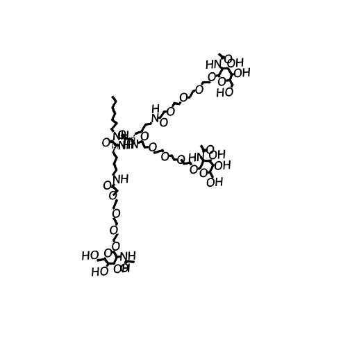 CCCCCCCNC(=O)[C@H](CCCCCNC(=O)COCCOCCOCCOC1OC(CO)C(O)C(O)C1NC(C)=O)NC(=O)[C@H](CCCCNC(=O)COCCOCCOCCOC1OC(CO)C(O)C(O)C1NC(C)=O)NC(=O)COCCOCCOCCOC1OC(CO)C(O)C(O)C1NC(C)=O